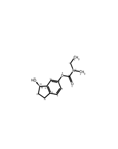 CCN(C)C(=O)Oc1ccc2c(c1)[C@H](O)CC2